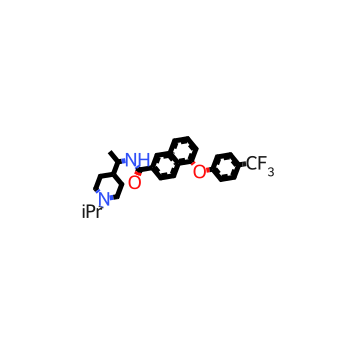 CC(NC(=O)c1ccc2c(Oc3ccc(C(F)(F)F)cc3)cccc2c1)C1CCN(C(C)C)CC1